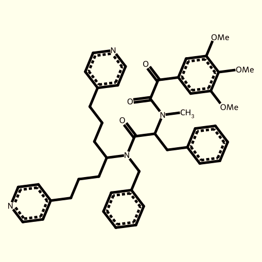 COc1cc(C(=O)C(=O)N(C)C(Cc2ccccc2)C(=O)N(Cc2ccccc2)C(CCCc2ccncc2)CCCc2ccncc2)cc(OC)c1OC